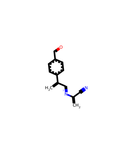 C=C(C#N)/N=C/C(=C)c1ccc(C=O)cc1